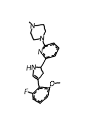 COc1cccc(F)c1C1=CNC(c2cccc(N3CCN(C)CC3)n2)C1